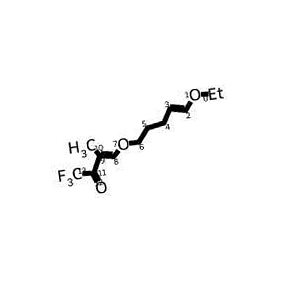 CCO/C=C/CCCO/C=C(\C)C(=O)C(F)(F)F